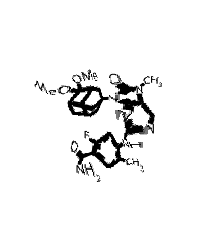 COC1(OC)C2CC3CC1CC(n1c(=O)n(C)c4cnc(Nc5cc(F)c(C(N)=O)cc5C)nc41)(C3)C2